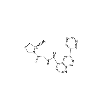 N#C[C@@H]1CSCN1C(=O)CNC(=O)c1ccnc2ccc(-c3cncnc3)cc12